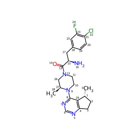 C[C@@H]1CCc2ncnc(N3CCN(C(=O)[C@H](N)Cc4ccc(Cl)c(F)c4)C[C@@H]3C)c21